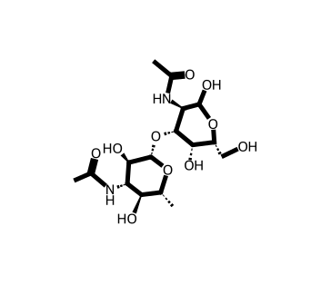 CC(=O)N[C@@H]1[C@@H](O)[C@H](O[C@H]2[C@@H](O)[C@@H](CO)OC(O)[C@@H]2NC(C)=O)O[C@H](C)[C@H]1O